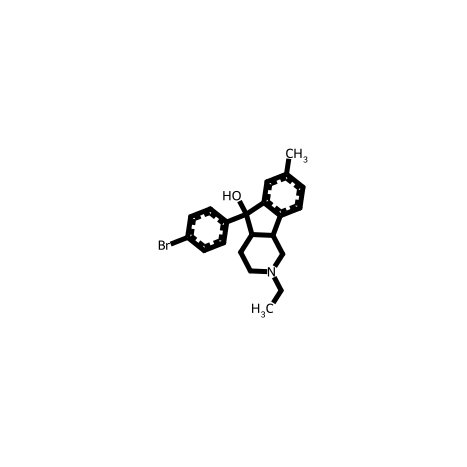 CCN1CCC2C(C1)c1ccc(C)cc1C2(O)c1ccc(Br)cc1